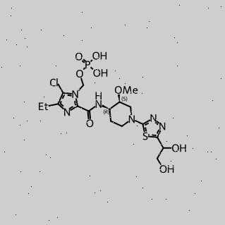 CCc1nc(C(=O)N[C@@H]2CCN(c3nnc(C(O)CO)s3)C[C@@H]2OC)n(COP(=O)(O)O)c1Cl